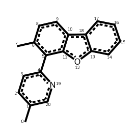 Cc1ccc(-c2c(C)ccc3c2oc2ccccc23)nc1